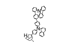 C[C@H]1CC2C[C@H]3CC(c4ccc(N(c5ccc(-c6ccc(-c7ccccc7-n7c8ccccc8c8ccccc87)cc6)cc5)c5cccc6ccccc56)cc4)(CC23)C1